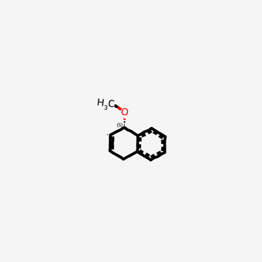 CO[C@H]1[C]=CCc2ccccc21